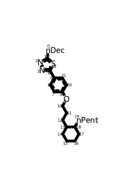 CCCCCCCCCCc1nnc(-c2ccc(OCCCC3CCCCC3CCCCC)cc2)s1